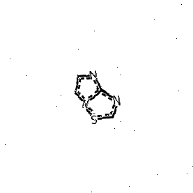 c1cn2scnc2n1